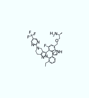 CCc1cccc(CC)c1-n1nc2c(c1-c1c(F)cc(COC[C@H](C)N)c3[nH]ccc13)CN(c1ncc(C(F)(F)F)cn1)CC2